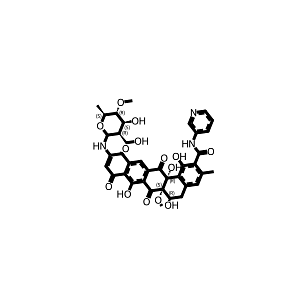 CO[C@@H]1[C@@H](O)[C@@H](CO)C(NC2=CC(=O)c3c(cc4c(c3O)C(=O)[C@]3(OC)[C@H](O)Cc5cc(C)c(C(=O)Nc6cccnc6)c(O)c5[C@]3(O)C4=O)C2=O)O[C@H]1C